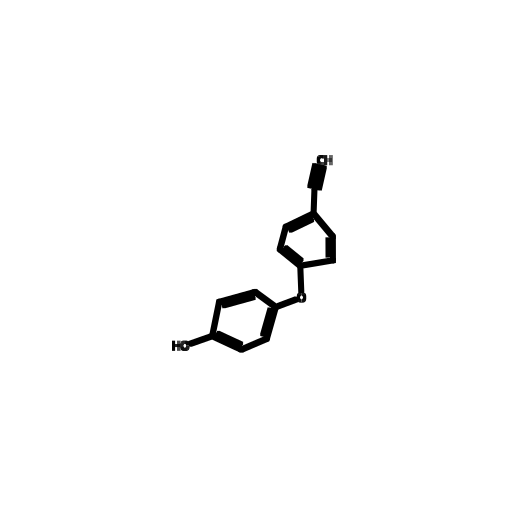 C#Cc1ccc(Oc2ccc(O)cc2)cc1